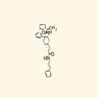 C=C(NCC1(c2ccccc2)CCC(CCC(=O)NCCCc2ccccc2)CC1)c1ccccc1C